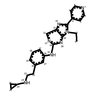 CCn1c(-c2ccncc2)nc2cnc(Nc3cccc(CCNC4CC4)c3)nc21